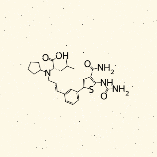 CC(C)C[C@@H](C(=O)O)N(CC=Cc1cccc(-c2cc(C(N)=O)c(NC(N)=O)s2)c1)C1CCCC1